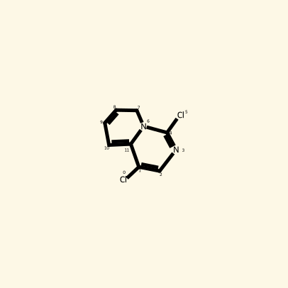 ClC1=CN=C(Cl)N2CC=CC=C12